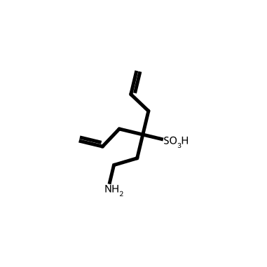 C=CCC(CC=C)(CCN)S(=O)(=O)O